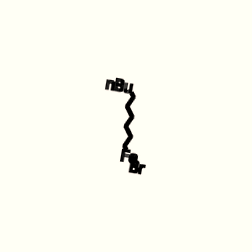 CCCCCCCCC[CH2][Fe][Br]